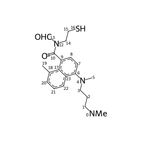 CNCCCN(C)c1ccc(C(=O)N(C=O)CCS)c2c(C)cccc12